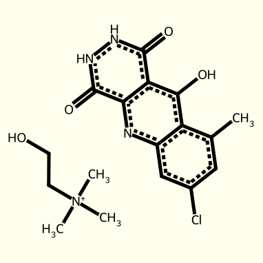 C[N+](C)(C)CCO.Cc1cc(Cl)cc2nc3c(=O)[nH][nH]c(=O)c3c(O)c12